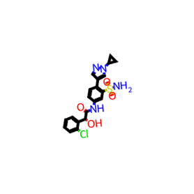 NS(=O)(=O)c1cc(NC(=O)C(O)c2ccccc2Cl)ccc1-c1cnn(C2CC2)c1